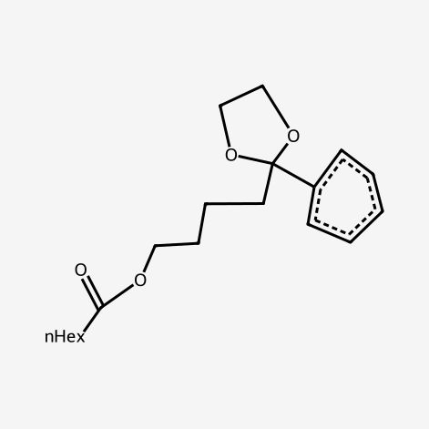 CCCCCCC(=O)OCCCCC1(c2ccccc2)OCCO1